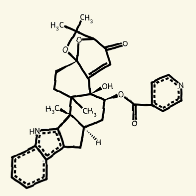 CC1(C)O[C@@]23CCC4(C)[C@@]5(C)c6[nH]c7ccccc7c6C[C@@H]5C[C@H](OC(=O)c5ccncc5)[C@@]4(O)C2=CC(=O)C1O3